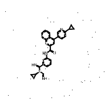 N=CN(C(=N)c1cccc(NC(=O)c2cc(-c3ccc(C4CC4)nc3)c3ccccc3n2)n1)C1CC1